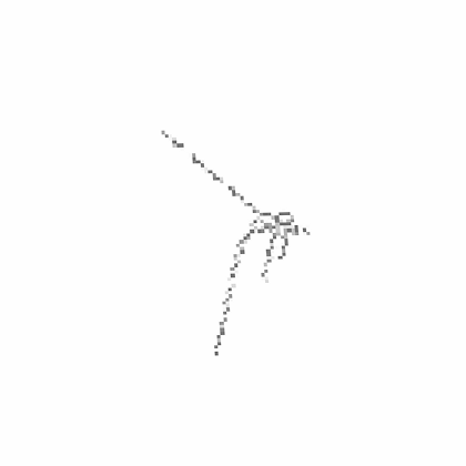 CCCCCCCCCCCCCCCCCCCCC#Cc1cccc(N=C(CCCC)C(CCCCCCCC)=Nc2cccc(C#CCCCCCCCCCCCCCCCCCCCC)c2)c1.[Pd]